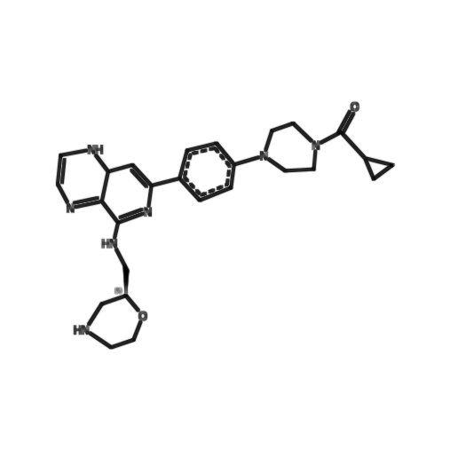 O=C(C1CC1)N1CCN(c2ccc(C3=CC4NC=CN=C4C(NC[C@@H]4CNCCO4)=N3)cc2)CC1